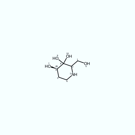 OCC1NCC[C@@H](O)C1(O)O